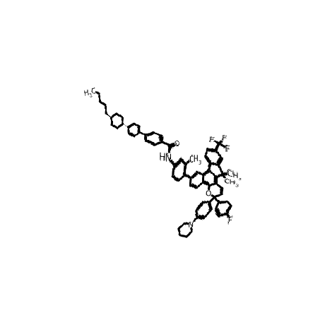 CCCCC[C@H]1CC[C@H](c2ccc(-c3ccc(C(=O)Nc4ccc(-c5ccc6c7c(c8c(c6c5)-c5ccc(C(F)(F)F)cc5C8(C)C)C=CC(c5ccc(F)cc5)(c5ccc(N6CCCCC6)cc5)O7)c(C)c4)cc3)cc2)CC1